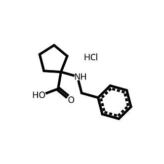 Cl.O=C(O)C1(NCc2ccccc2)CCCC1